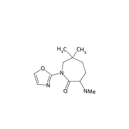 CNC1CCC(C)(C)CN(c2ncco2)C1=O